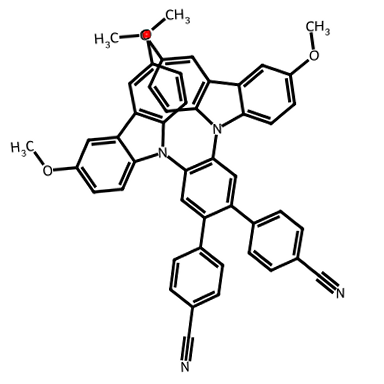 COc1ccc2c(c1)c1cc(OC)ccc1n2-c1cc(-c2ccc(C#N)cc2)c(-c2ccc(C#N)cc2)cc1-n1c2ccc(OC)cc2c2cc(OC)ccc21